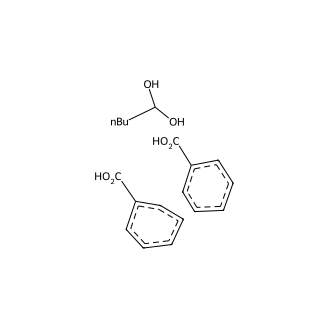 CCCCC(O)O.O=C(O)c1ccccc1.O=C(O)c1ccccc1